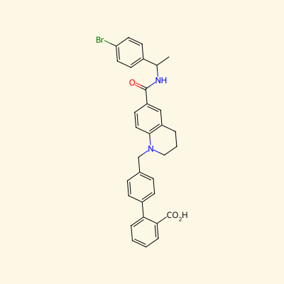 CC(NC(=O)c1ccc2c(c1)CCCN2Cc1ccc(-c2ccccc2C(=O)O)cc1)c1ccc(Br)cc1